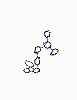 c1ccc(-c2cc(-c3ccccc3)nc(-c3cccc(-c4ccc(-c5cccc6c5C5(CCCCC5)c5ccccc5-6)cc4)c3)n2)cc1